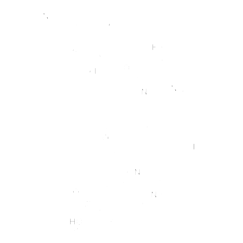 N#Cc1ccc(COc2nc(-c3ccc(Cc4nc5ccc(C(=O)O)cc5n4CC4CCO4)c(F)c3)ncc2F)c(F)c1